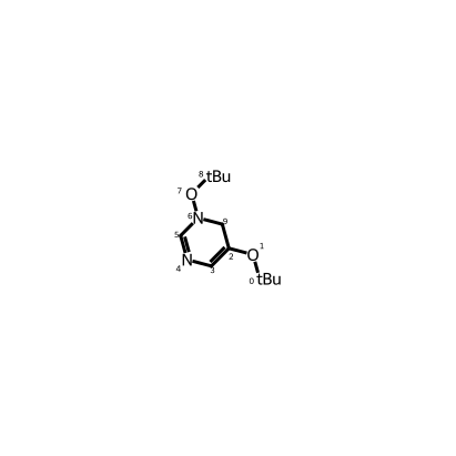 CC(C)(C)OC1=CN=CN(OC(C)(C)C)C1